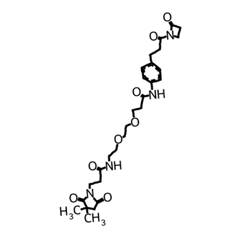 CC1(C)CC(=O)N(CCC(=O)NCCOCCOCCC(=O)Nc2ccc(CCC(=O)N3CCC3=O)cc2)C1=O